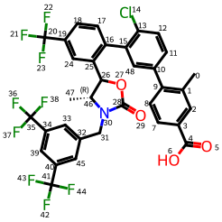 Cc1cc(C(=O)O)ccc1-c1ccc(Cl)c(-c2ccc(C(F)(F)F)cc2C2OC(=O)N(Cc3cc(C(F)(F)F)cc(C(F)(F)F)c3)[C@@H]2C)c1